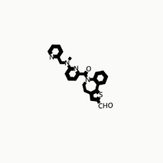 CN(Cc1ccccn1)c1cccc(C(=O)N2CCc3cc(C=O)sc3-c3ccccc32)n1